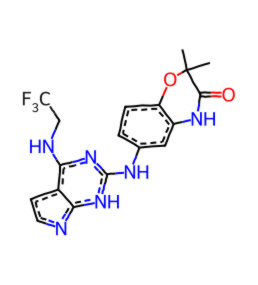 CC1(C)Oc2ccc(Nc3nc(NCC(F)(F)F)c4ccnc-4[nH]3)cc2NC1=O